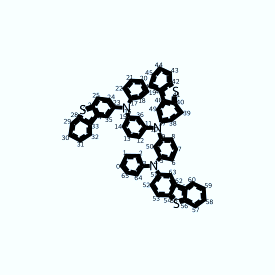 c1ccc(N(c2cccc(N(c3cccc(N(c4ccccc4)c4ccc5sc6ccccc6c5c4)c3)c3ccc4sc5ccccc5c4c3)c2)c2ccc3sc4ccccc4c3c2)cc1